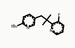 CC(C)(C)c1ccc(CC(C)(C)c2ncccc2F)cn1